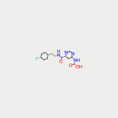 O=C(O)Nc1cc(C(=O)NCCc2ccc(F)cc2)ncn1